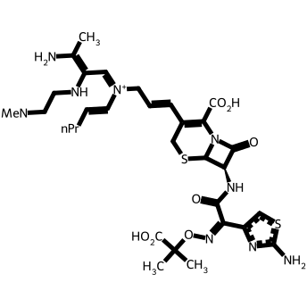 CCC/C=C/[N+](=C\C(NCCNC)=C(/C)N)C/C=C/C1=C(C(=O)O)N2C(=O)[C@@H](NC(=O)/C(=N\OC(C)(C)C(=O)O)c3csc(N)n3)C2SC1